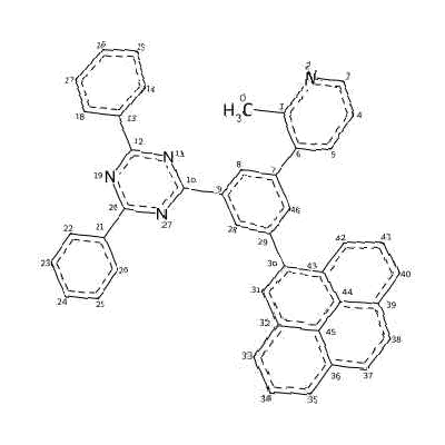 Cc1ncccc1-c1cc(-c2nc(-c3ccccc3)nc(-c3ccccc3)n2)cc(-c2cc3cccc4ccc5cccc2c5c43)c1